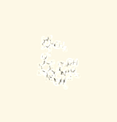 Cc1ncsc1COc1ccc2nn(C)c(C(=O)NC3(CO)CCO3)c2c1